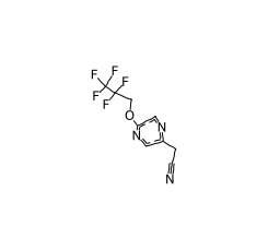 N#CCc1cnc(OCC(F)(F)C(F)(F)F)cn1